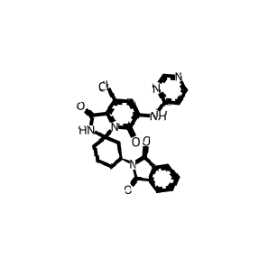 O=C1NC2(CCC[C@H](N3C(=O)c4ccccc4C3=O)C2)n2c1c(Cl)cc(Nc1ccncn1)c2=O